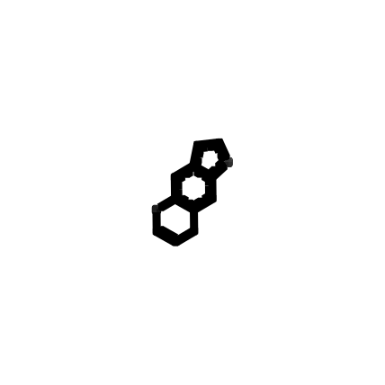 C1=COc2cc3ccoc3cc2C1